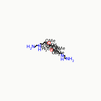 CO[Si](CCCNCCN)(OC)OC(C)(C)[Si](C)(C)OC(C)(C)[Si](CCCNCCN)(OC)OC